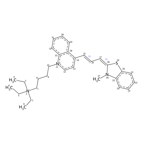 CC[N+](CC)(CC)CCCC[n+]1ccc(/C=C/C=C2/Sc3ccccc3N2C)c2ccccc21